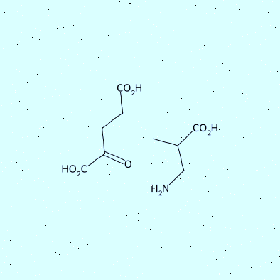 CC(CN)C(=O)O.O=C(O)CCC(=O)C(=O)O